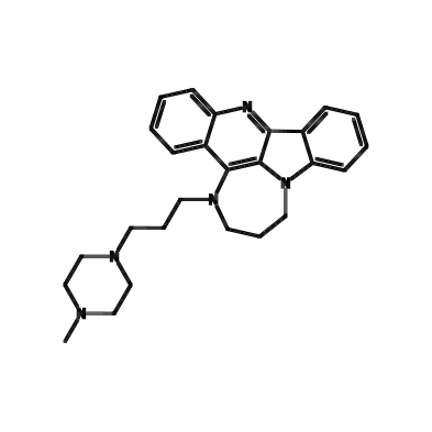 CN1CCN(CCCN2CCCn3c4ccccc4c4nc5ccccc5c2c43)CC1